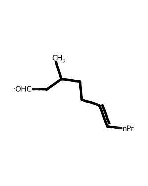 CCCC=CCCC(C)C[C]=O